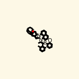 CC1=C(c2c(C)cccc2C)B2c3ccccc3Oc3cc4cccc5c4c(c32)n1c1cc2cc3c(cc2n51)C1CC2CC(CC3C2)C1